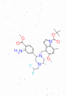 COC(=O)c1ccc(C2CN(CC(F)F)CCN2Cc2c(OC)cc(C)c3c2ccn3C(=O)OC(C)(C)C)cc1N